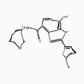 O=C(N[C@H]1CCCNC1)c1ccc(O)c2[nH]c(-c3ccc(Br)s3)nc12